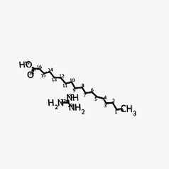 CCCCCCCCCCCCCCCCCC(=O)O.N=C(N)N